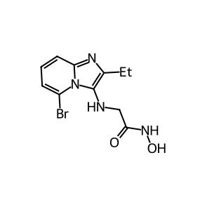 CCc1nc2cccc(Br)n2c1NCC(=O)NO